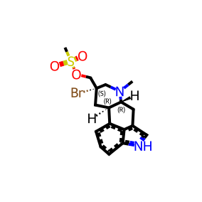 CN1C[C@](Br)(COS(C)(=O)=O)C[C@@H]2c3cccc4[nH]cc(c34)C[C@H]21